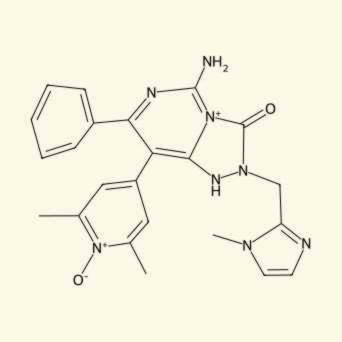 Cc1cc(-c2c(-c3ccccc3)nc(N)[n+]3c(=O)n(Cc4nccn4C)[nH]c23)cc(C)[n+]1[O-]